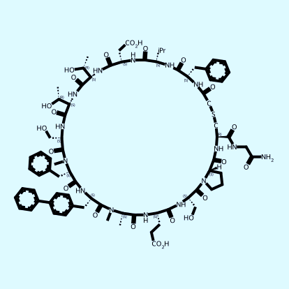 CC(C)[C@@H]1NC(=O)[C@H](Cc2ccccc2)NC(=O)CSC[C@@H](C(=O)NCC(N)=O)NC(=O)[C@@H]2CCCN2C(=O)[C@H](CO)NC(=O)[C@H](CCC(=O)O)NC(=O)[C@H](C)N(C)C(=O)[C@H](Cc2ccc(-c3ccccc3)cc2)NC(=O)[C@H](Cc2ccccc2)N(C)C(=O)[C@H](CO)NC(=O)[C@H]([C@@H](C)O)NC(=O)[C@H]([C@@H](C)O)NC(=O)[C@H](CC(=O)O)NC1=O